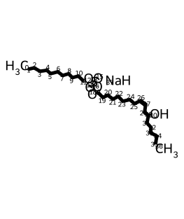 CCCCCCCCCCCCOS(=O)(=O)OC(=O)CCCCCCC/C=C\C[C@H](O)CCCCCC.[NaH]